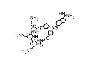 N=C(N)c1ccc2cc(OC(=O)c3ccc(OCCNC(=O)[C@H](CCCCN)NC(=O)[C@H](CCCCN)NC(=O)[C@H](CCCCCN)NC(=O)OCc4ccccc4)cc3)ccc2c1